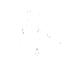 CN(C)CCN1CCn2c(c([C@@H]3CCCC[C@H]3F)c3ccc(C(=O)O)cc32)-c2ccc(OCC3CC3)cc2C1